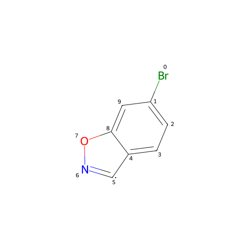 Brc1ccc2[c]noc2c1